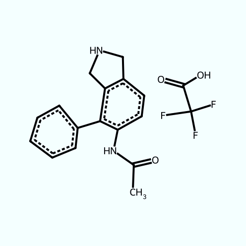 CC(=O)Nc1ccc2c(c1-c1ccccc1)CNC2.O=C(O)C(F)(F)F